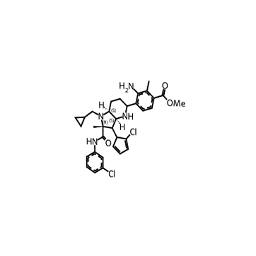 COC(=O)c1ccc(C2CC[C@H]3[C@@H](N2)C(C2C=CC=C2Cl)[C@](C)(C(=O)Nc2cccc(Cl)c2)N3CC2CC2)c(N)c1C